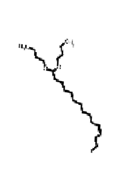 CCCCOC(CCCCCCCCC/C=C\CCI)OCCCC